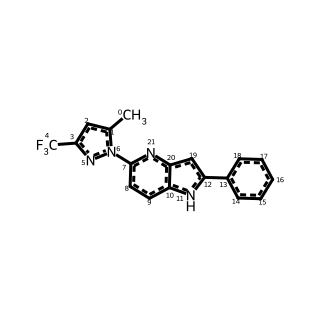 Cc1cc(C(F)(F)F)nn1-c1ccc2[nH]c(-c3ccccc3)cc2n1